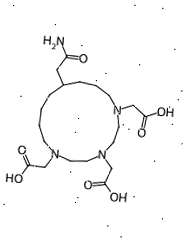 NC(=O)CC1CCCCN(CC(=O)O)CCN(CC(=O)O)CCN(CC(=O)O)CCC1